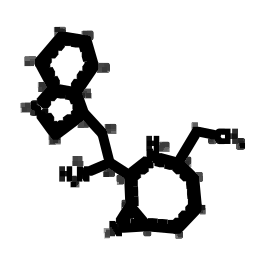 CCc1cccc2nc-2c(C(N)Cc2csc3ccccc23)[nH]1